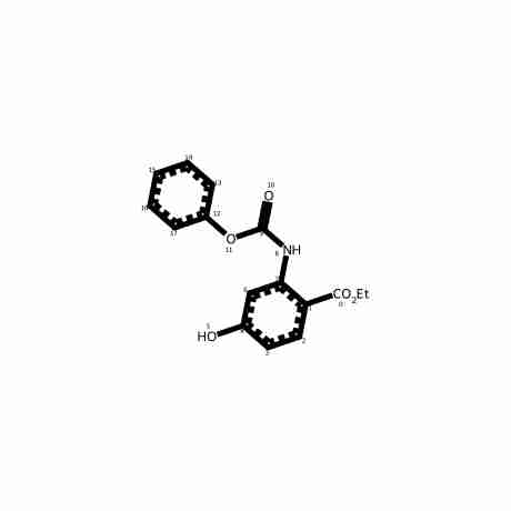 CCOC(=O)c1ccc(O)cc1NC(=O)Oc1ccccc1